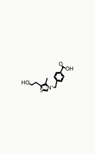 Cc1c(CCO)sc[n+]1Cc1ccc(C(=O)O)cc1